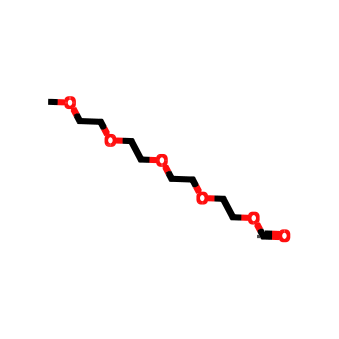 COCCOCCOCCOCCO[C]=O